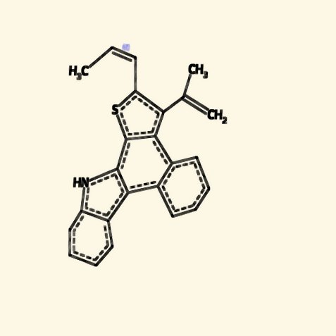 C=C(C)c1c(/C=C\C)sc2c3[nH]c4ccccc4c3c3ccccc3c12